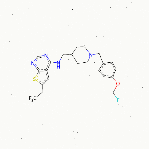 FCOc1ccc(CN2CCC(CNc3ncnc4sc(CC(F)(F)F)cc34)CC2)cc1